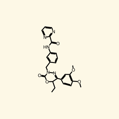 CCC1OC(=O)N(Cc2cccc(NC(=O)c3ncccn3)c2)N=C1c1ccc(OC)c(OC)c1